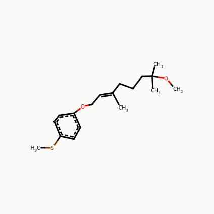 COC(C)(C)CCC/C(C)=C/COc1ccc(SC)cc1